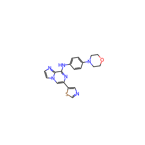 c1cn2cc(-c3cncs3)nc(Nc3ccc(N4CCOCC4)cc3)c2n1